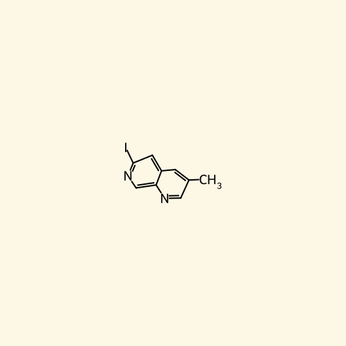 Cc1cnc2cnc(I)cc2c1